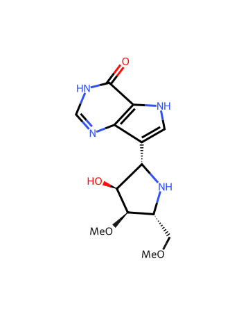 COC[C@H]1N[C@@H](c2c[nH]c3c(=O)[nH]cnc23)[C@H](O)[C@@H]1OC